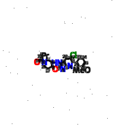 COC1=C(c2nc3nc(OC4CCN(C(=O)C(C)C)CC4)[nH]c3cc2Cl)CCC=C1